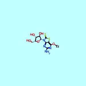 CCOc1nc(N)nc2c1sc(=S)n2[C@@H]1O[C@H](CO)[C@H](O)[C@H]1O